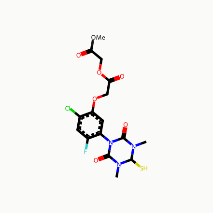 COC(=O)COC(=O)COc1cc(N2C(=O)N(C)C(S)N(C)C2=O)c(F)cc1Cl